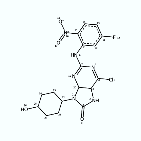 O=C1NC2C(Cl)=NC(Nc3cc(F)ccc3[N+](=O)[O-])=NC2N1C1CCC(O)CC1